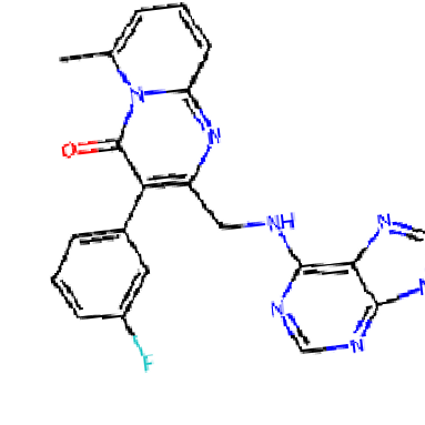 Cc1cccc2nc(CNc3ncnc4[nH]cnc34)c(-c3cccc(F)c3)c(=O)n12